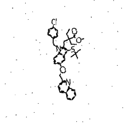 CCC(CC)(Cc1c(SC(C)(C)C)c2cc(OCc3ccc4ccccc4n3)ccc2n1Cc1ccc(Cl)cc1)C(=O)OC